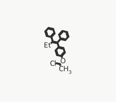 CCC(=C(c1ccccc1)c1ccc(OC(C)Cl)cc1)c1ccccc1